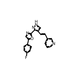 Fc1ccc(-c2cnc(-c3n[nH]cc3/C=C/c3cccnc3)o2)cc1